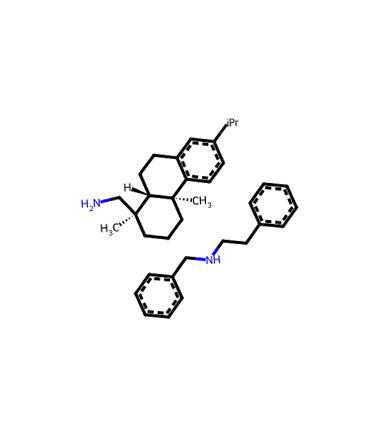 CC(C)c1ccc2c(c1)CC[C@H]1[C@](C)(CN)CCC[C@]21C.c1ccc(CCNCc2ccccc2)cc1